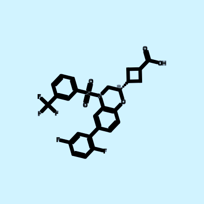 O=C(O)C1CC([C@H]2CN(S(=O)(=O)c3cccc(C(F)(F)F)c3)c3cc(-c4cc(F)ccc4F)ccc3O2)C1